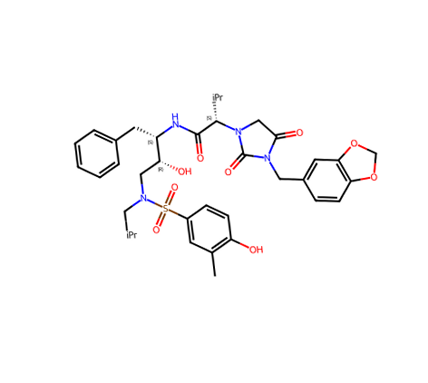 Cc1cc(S(=O)(=O)N(CC(C)C)C[C@@H](O)[C@H](Cc2ccccc2)NC(=O)[C@H](C(C)C)N2CC(=O)N(Cc3ccc4c(c3)OCO4)C2=O)ccc1O